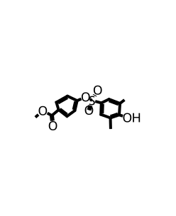 COC(=O)c1ccc(OS(=O)(=O)c2cc(C)c(O)c(C)c2)cc1